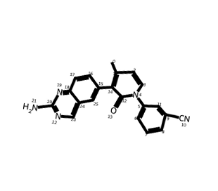 Cc1ccn(-c2cccc(C#N)c2)c(=O)c1-c1ccc2nc(N)ncc2c1